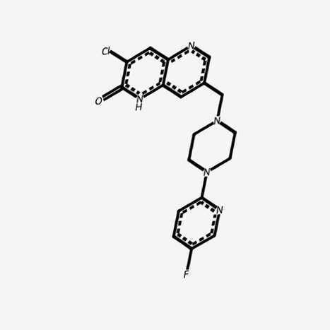 O=c1[nH]c2cc(CN3CCN(c4ccc(F)cn4)CC3)cnc2cc1Cl